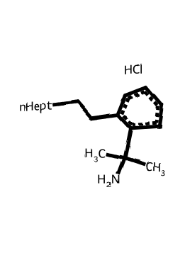 CCCCCCCCCc1ccccc1C(C)(C)N.Cl